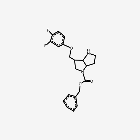 O=C(OCc1ccccc1)N1CC(COc2ccc(F)c(F)c2)C2NCCC21